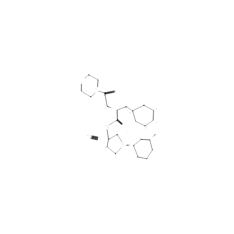 C[C@H]1CCC[C@@H](N2CC[C@@](C#N)(NC(=O)[C@@H](CC(=O)N3CCOCC3)CC3CCCCC3)C2)C1